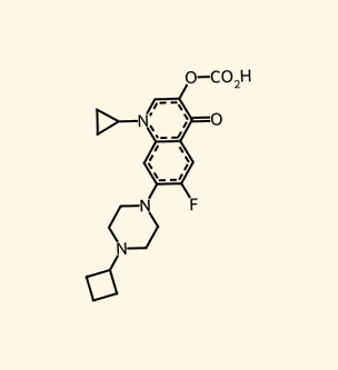 O=C(O)Oc1cn(C2CC2)c2cc(N3CCN(C4CCC4)CC3)c(F)cc2c1=O